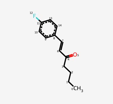 CCCCC(=O)C=Cc1ccc(F)cc1